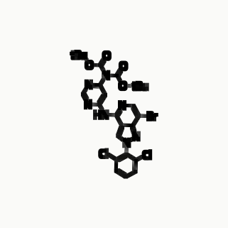 CC(C)(C)OC(=O)N(C(=O)OC(C)(C)C)c1cc(Nc2ncc(Br)c3nn(-c4c(Cl)cccc4Cl)cc23)ncn1